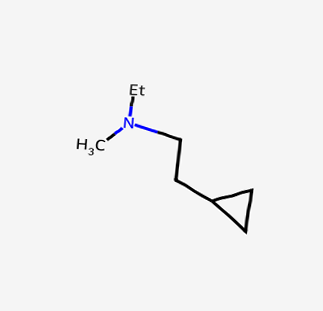 CCN(C)CCC1CC1